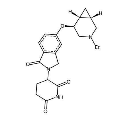 CCN1C[C@H]2C[C@H]2[C@H](Oc2ccc3c(c2)CN(C2CCC(=O)NC2=O)C3=O)C1